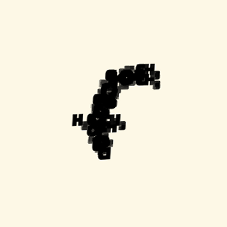 CCC(C)(NC(=O)c1ccc(Cl)cc1)c1ccc(S(=O)(=O)N2CCN(C(=O)c3ccc(N(C)C)cc3)CC2)s1